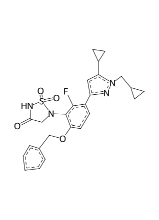 O=C1CN(c2c(OCc3ccccc3)ccc(-c3cc(C4CC4)n(CC4CC4)n3)c2F)S(=O)(=O)N1